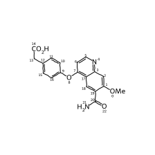 COc1cc2nccc(Oc3ccc(CC(=O)O)cc3)c2cc1C(N)=O